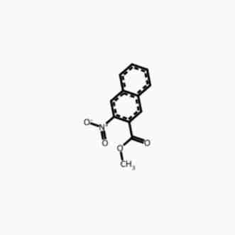 COC(=O)c1cc2ccccc2cc1[N+](=O)[O-]